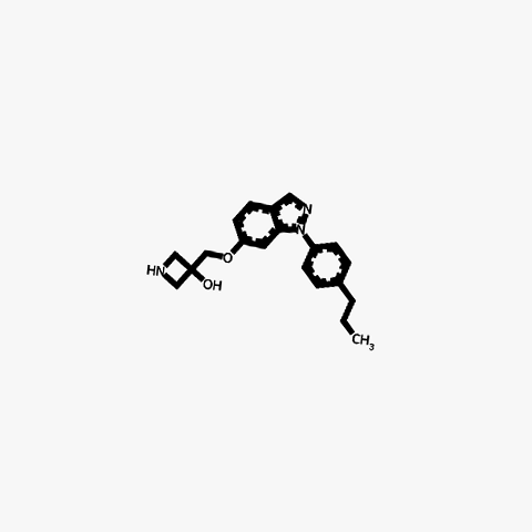 CCCc1ccc(-n2ncc3ccc(OCC4(O)CNC4)cc32)cc1